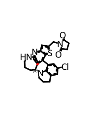 O=C1CCC(=O)N1Cc1cc2nccc(-c3cc(Cl)cc4c3N([C@@H]3CCCNCC3)CCC4)c2s1